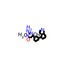 CN1C(=O)CC(C)(c2cccc(-c3cccc4cnccc34)c2)N=C1N